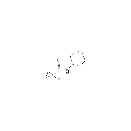 N#CC1(C(=O)NC2CCCCC2)CC1